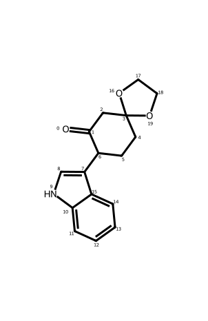 O=C1CC2(CCC1c1c[nH]c3ccccc13)OCCO2